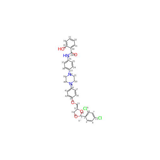 C[C@]1(c2ccc(Cl)cc2Cl)OC[C@@H](COc2ccc(N3CCN(c4ccc(NC(=O)c5ccccc5O)cc4)CC3)cc2)O1